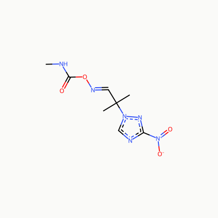 CNC(=O)ON=CC(C)(C)n1cnc([N+](=O)[O-])n1